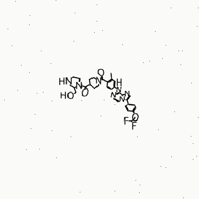 Cc1cc(Nc2nccn3c(-c4ccc(OC(F)F)cc4)cnc23)ccc1C(=O)N1CCC(C(=O)N2CCNCC2CO)CC1